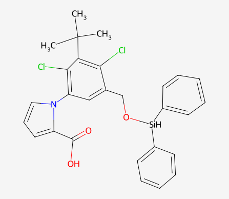 CC(C)(C)c1c(Cl)c(CO[SiH](c2ccccc2)c2ccccc2)cc(-n2cccc2C(=O)O)c1Cl